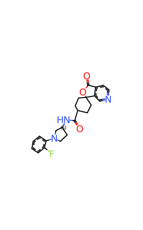 O=C1OC2(CCC(C(=O)N[C@H]3CCN(c4ccccc4F)C3)CC2)c2cnccc21